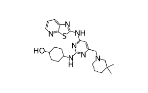 CC1(C)CCCN(Cc2cc(Nc3nc4cccnc4s3)nc(NC3CCC(O)CC3)n2)C1